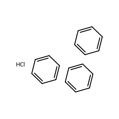 Cl.c1ccccc1.c1ccccc1.c1ccccc1